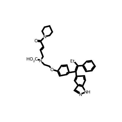 CCC(=C(c1ccc(OCCN(CC=CC(=O)N2CCCCC2)C(=O)O)cc1)c1ccc2[nH]ncc2c1)c1ccccc1